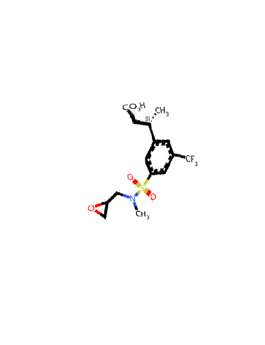 C[C@@H](CC(=O)O)c1cc(C(F)(F)F)cc(S(=O)(=O)N(C)CC2CO2)c1